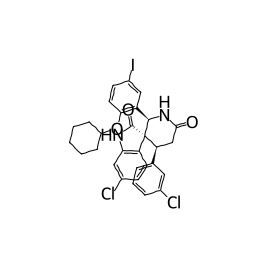 O=C1C[C@@H](c2cccc(Cl)c2)[C@]2(C(=O)Nc3cc(Cl)ccc32)[C@@H](c2cc(I)ccc2OC2CCCCC2)N1